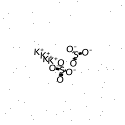 O=S(=O)([O-])[O-].O=S([O-])[O-].[K+].[K+].[K+].[K+]